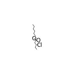 CCCCCCOC(=O)CC(Cl)CC